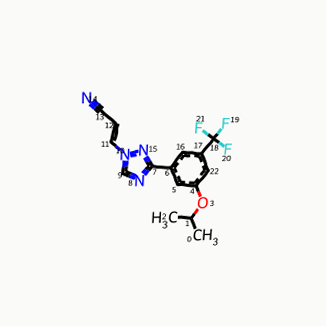 CC(C)Oc1cc(-c2ncn(C=CC#N)n2)cc(C(F)(F)F)c1